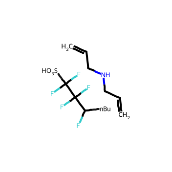 C=CCNCC=C.CCCCC(F)C(F)(F)C(F)(F)S(=O)(=O)O